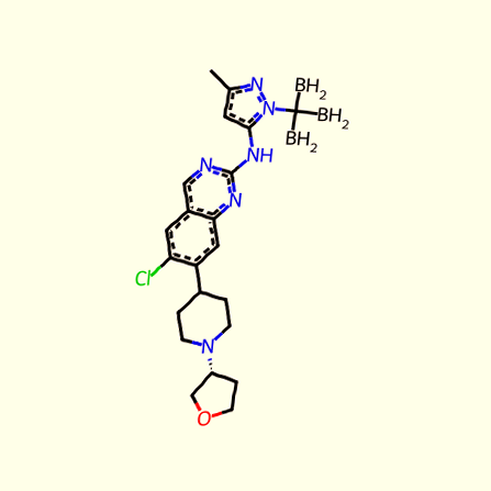 BC(B)(B)n1nc(C)cc1Nc1ncc2cc(Cl)c(C3CCN([C@@H]4CCOC4)CC3)cc2n1